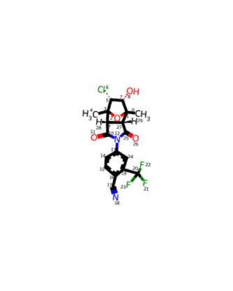 CC12OC(C)([C@H](Cl)[C@@H]1O)[C@H]1C(=O)N(c3ccc(C#N)c(C(F)(F)F)c3)C(=O)[C@H]12